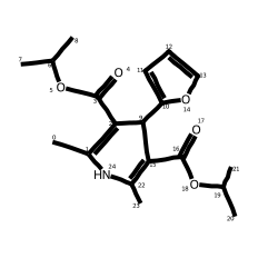 CC1=C(C(=O)OC(C)C)C(c2ccco2)C(C(=O)OC(C)C)=C(C)N1